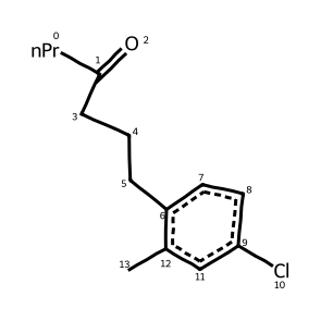 CCCC(=O)CCCc1ccc(Cl)cc1C